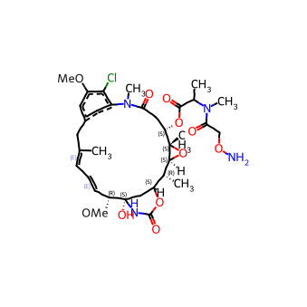 COc1cc2cc(c1Cl)N(C)C(=O)C[C@H](OC(=O)C(C)N(C)C(=O)CON)[C@]1(C)O[C@H]1[C@H](C)[C@@H]1C[C@@](O)(NC(=O)O1)[C@H](OC)/C=C/C=C(\C)C2